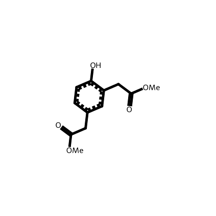 COC(=O)Cc1ccc(O)c(CC(=O)OC)c1